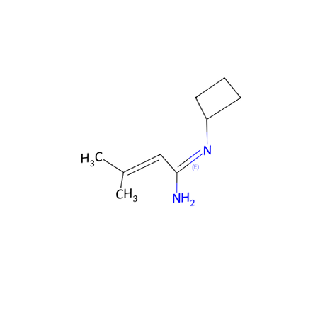 CC(C)=C/C(N)=N\C1CCC1